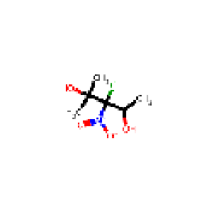 CC(O)C(Cl)([N+](=O)[O-])C(C)(C)O